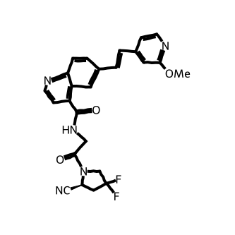 COc1cc(/C=C/c2ccc3nccc(C(=O)NCC(=O)N4CC(F)(F)C[C@H]4C#N)c3c2)ccn1